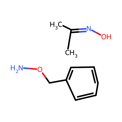 CC(C)=NO.NOCc1ccccc1